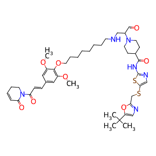 COc1cc(/C=C/C(=O)N2CCC=CC2=O)cc(OC)c1OCCCCCCCCNCC(C=O)N1CCC(C(=O)Nc2ncc(SCc3ncc(C(C)(C)C)o3)s2)CC1